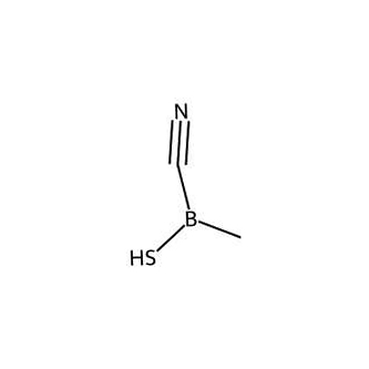 CB(S)C#N